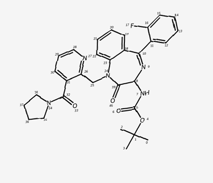 CC(C)(C)OC(=O)NC1N=C(c2ccccc2F)c2ccccc2N(Cc2ncccc2C(=O)N2CCCC2)C1=O